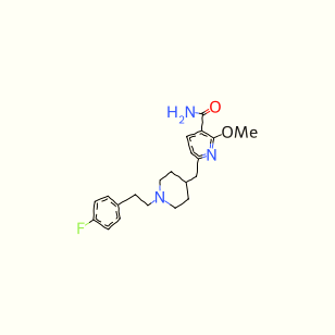 COc1nc(CC2CCN(CCc3ccc(F)cc3)CC2)ccc1C(N)=O